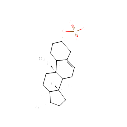 CC(=O)[C@H]1CC[C@H]2[C@@H]3CC=C4C[C@@H](OS(=O)(=O)[O-])CC[C@]4(C)[C@H]3CC[C@]12C.[Na+]